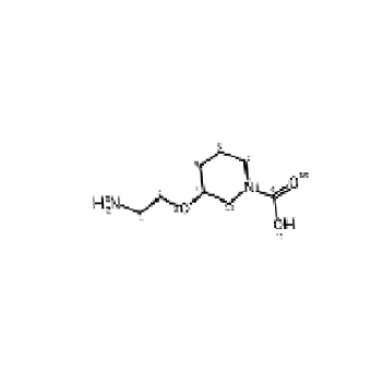 NCCOC1CCCN(C(=O)O)C1